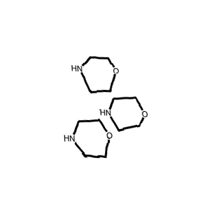 C1COCCN1.C1COCCN1.C1COCCN1